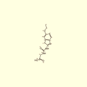 CCOc1ccc2nc(NC(=O)NCC(=O)O)sc2c1